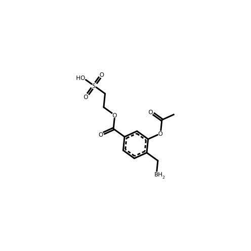 BCc1ccc(C(=O)OCCS(=O)(=O)O)cc1OC(C)=O